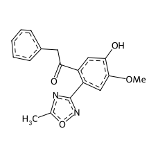 COc1cc(-c2noc(C)n2)c(C(=O)Cc2ccccc2)cc1O